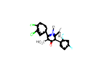 CCn1c(C)c(-c2ccc(F)cc2F)c(=O)c(C(=O)O)c1-c1ccc(Cl)c(Cl)c1